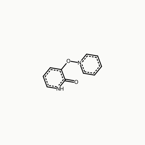 O=c1[nH]cccc1O[n+]1ccccc1